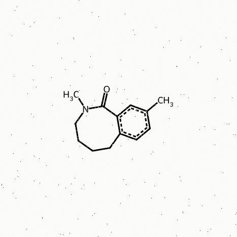 Cc1ccc2c(c1)C(=O)N(C)CCCC2